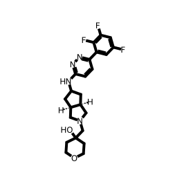 OC1(CN2C[C@H]3CC(Nc4ccc(-c5cc(F)cc(F)c5F)nn4)C[C@H]3C2)CCOCC1